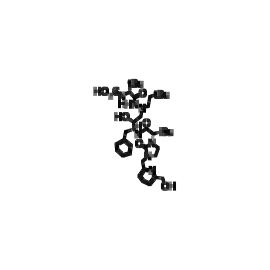 CC[C@H](C)[C@@H](C(=O)N[C@@H](Cc1ccccc1)[C@@H](O)CN(CCC(C)(C)C)NC(=O)[C@@H](NC(=O)O)C(C)(C)C)N1CCN(Cc2cccc(CO)n2)C1=O